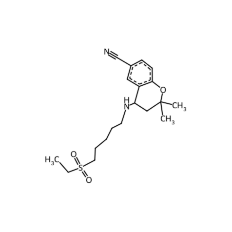 CCS(=O)(=O)CCCCCNC1CC(C)(C)Oc2ccc(C#N)cc21